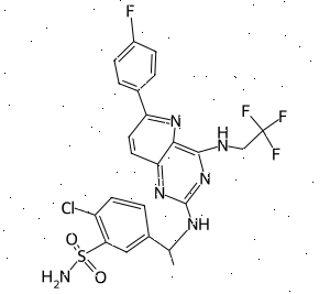 CC(Nc1nc(NCC(F)(F)F)c2nc(-c3ccc(F)cc3)ccc2n1)c1ccc(Cl)c(S(N)(=O)=O)c1